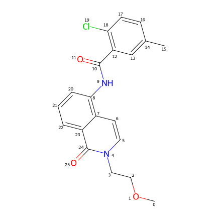 COCCn1ccc2c(NC(=O)c3cc(C)ccc3Cl)cccc2c1=O